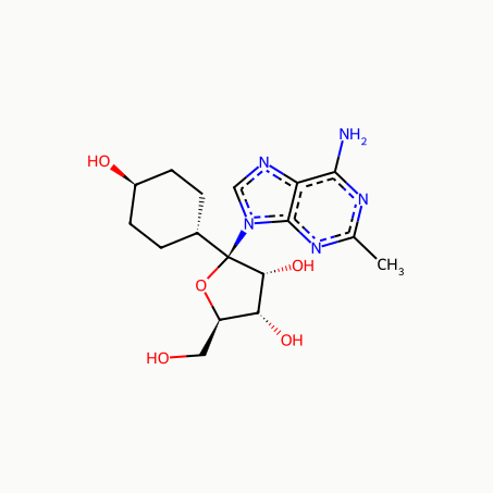 Cc1nc(N)c2ncn([C@]3([C@H]4CC[C@H](O)CC4)O[C@H](CO)[C@@H](O)[C@H]3O)c2n1